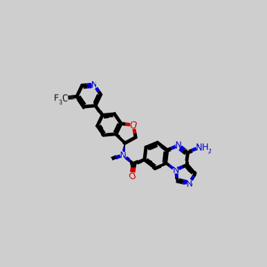 CN(C(=O)c1ccc2nc(N)c3cncn3c2c1)[C@@H]1COc2cc(-c3cncc(C(F)(F)F)c3)ccc21